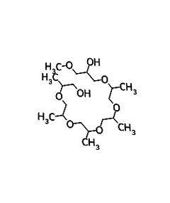 COCC(O)COC(C)COC(C)COC(C)COC(C)COC(C)CO